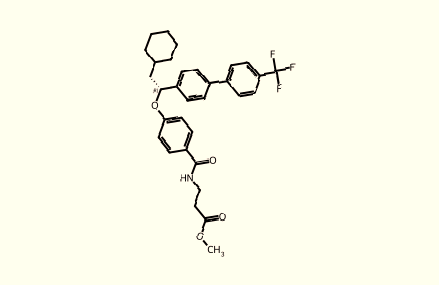 COC(=O)CCNC(=O)c1ccc(O[C@H](CC2CCCCC2)c2ccc(-c3ccc(C(F)(F)F)cc3)cc2)cc1